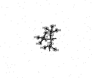 CCCCOc1c(OCCCS(=O)(=O)O)cc(C(=O)NCCCC(CCCNC(=O)c2cc(OCCCS(=O)(=O)O)c(OCCCS(=O)(=O)O)c(OCCCS(=O)(=O)O)c2)(CCCNC(=O)c2cc(OCCCS(=O)(=O)O)c(OCCCS(=O)(=O)O)c(OCCCS(=O)(=O)O)c2)NC(=O)CCCC)cc1OCCCS(=O)(=O)O